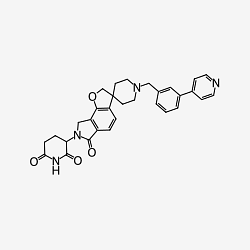 O=C1CCC(N2Cc3c(ccc4c3OCC43CCN(Cc4cccc(-c5ccncc5)c4)CC3)C2=O)C(=O)N1